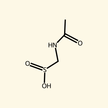 CC(=O)NCS(=O)O